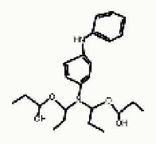 CCC(O)OC(CC)N(c1ccc(Nc2ccccc2)cc1)C(CC)OC(O)CC